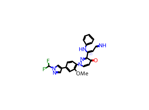 COc1cc(-c2cnn(C(F)F)c2)ccc1-n1ccc(=O)c(/C(=C/C=N)Nc2ccccc2)n1